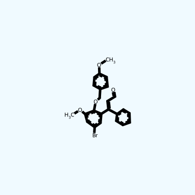 COc1ccc(COc2c(OC)cc(Br)cc2/C(=C/C=O)c2ccccc2)cc1